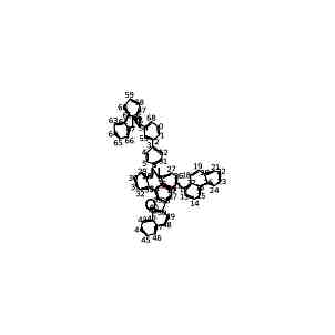 c1cc(-c2ccc(N(c3ccc(-c4cccc5c4ccc4ccccc45)cc3)c3ccccc3-c3cccc4c3oc3c5ccccc5ccc43)cc2)cc(-n2c3ccccc3c3ccccc32)c1